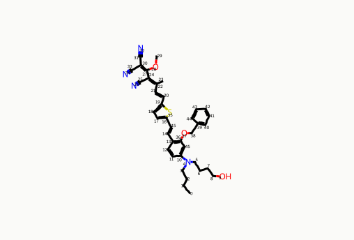 CCCCN(CCCCO)c1ccc(/C=C/c2ccc(/C=C/C(C)=C(\C#N)C(OC)=C(C#N)C#N)s2)c(OCc2ccccc2)c1